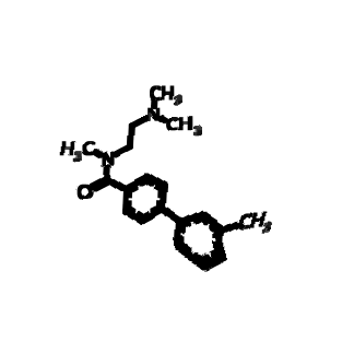 Cc1cccc(-c2ccc(C(=O)N(C)CCN(C)C)cc2)c1